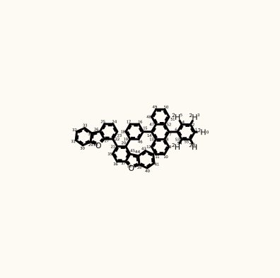 [2H]c1c([2H])c([2H])c(-c2c3ccccc3c(-c3cccc(-c4c(-c5cccc6c5oc5ccccc56)ccc5oc6ccccc6c45)c3)c3ccccc23)c([2H])c1[2H]